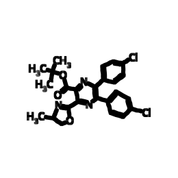 CC1COC(c2nc(-c3ccc(Cl)cc3)c(-c3ccc(Cl)cc3)nc2C(=O)OC(C)(C)C)=N1